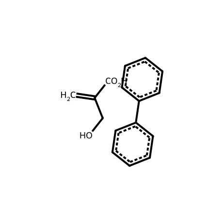 C=C(CO)C(=O)O.c1ccc(-c2ccccc2)cc1